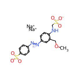 COCc1cc(/N=N/c2ccc(S(=O)(=O)[O-])cc2)ccc1NCS(=O)(=O)[O-].[Na+].[Na+]